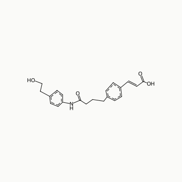 O=C(O)C=Cc1ccc(CCCC(=O)Nc2ccc(CCO)cc2)cc1